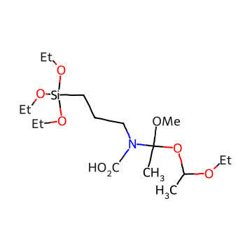 CCOC(C)OC(C)(OC)N(CCC[Si](OCC)(OCC)OCC)C(=O)O